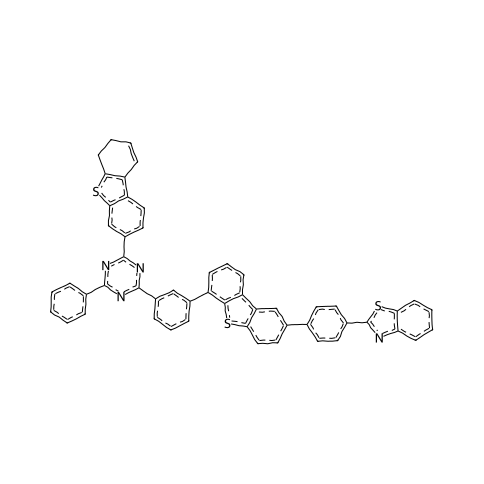 C1=Cc2c(sc3cc(-c4nc(-c5ccccc5)nc(-c5cccc(-c6cccc7c6sc6ccc(-c8ccc(-c9nc%10ccccc%10s9)cc8)cc67)c5)n4)ccc23)CC1